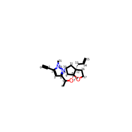 C#Cc1cc(C(C)O[C@]23CCC[C@@]2(CC=C)CCO3)nn1C